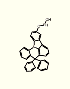 OBOc1ccc2c(c1)c1cccc3c1n2-c1ccccc1C3(c1ccccc1)c1ccccc1